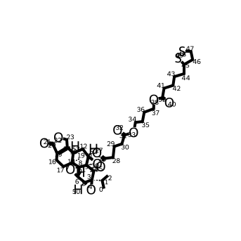 CC(C)[C@]12O[C@H]1[C@@H]1O[C@]13[C@]1(O[C@H]1C[C@H]1C4=C(CC[C@@]13C)C(=O)OC4)[C@@H]2OC(=O)CCCC(=O)OCCCCOC(=O)CCCCC1CCSS1